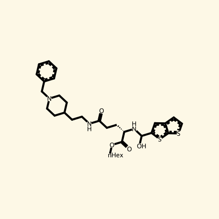 CCCCCCOC(=O)[C@H](CCC(=O)NCCC1CCN(Cc2ccccc2)CC1)NC(O)c1cc2ccsc2s1